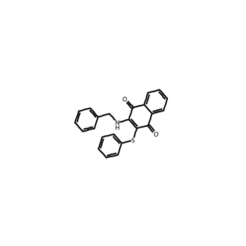 O=C1C(NCc2ccccc2)=C(Sc2ccccc2)C(=O)c2ccccc21